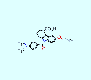 CC(C)CCOc1ccc2c(c1)c1c(n2C(=O)c2ccc(N(C)C)cc2)CCCC1C(=O)O